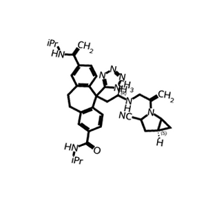 C=C(NC(C)C)c1ccc2c(c1)CCc1cc(C(=O)NC(C)C)ccc1C2(C[C@@H](C)NCC(=C)N1C(C#N)C[C@@H]2CC21)c1nnn[nH]1